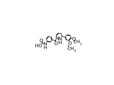 CCOc1cc(C2CC=CN(C(=O)c3cccc(NC(=O)O)c3)N2)ccc1OC